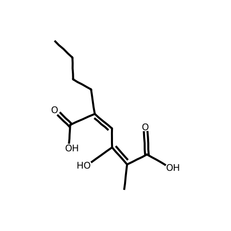 CCCCC(=CC(O)=C(C)C(=O)O)C(=O)O